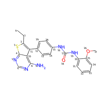 CCc1sc2ncnc(N)c2c1-c1ccc(NC(=O)Nc2ccccc2OC)cc1